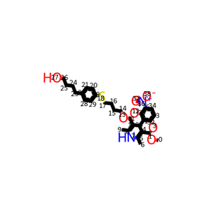 COC(=O)C1=C(C)NC(C)=C(C(=O)OCCCCSc2ccc(CCCCO)cc2)C1c1cccc([N+](=O)[O-])c1